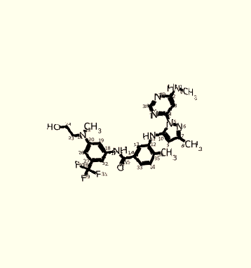 CNc1cc(-n2nc(C)cc2Nc2cc(C(=O)Nc3cc(N(C)CCO)cc(C(F)(F)F)c3)ccc2C)ncn1